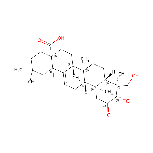 CC1(C)CC[C@@]2(C(=O)O)CC[C@@]3(C)C(=CC[C@H]4[C@]5(C)C[C@H](O)[C@@H](O)[C@](C)(CO)[C@H]5CC[C@@]43C)[C@H]2C1